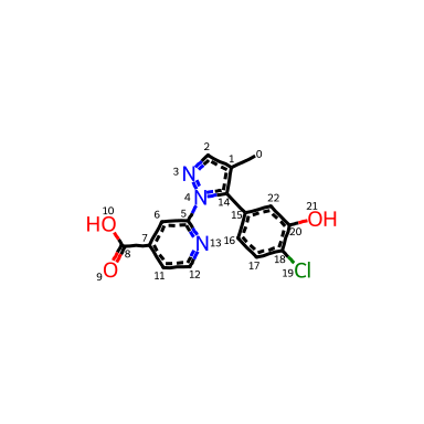 Cc1cnn(-c2cc(C(=O)O)ccn2)c1-c1ccc(Cl)c(O)c1